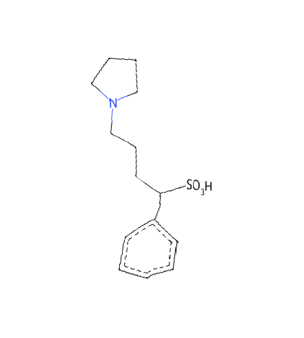 O=S(=O)(O)C(CCCN1CCCC1)c1ccccc1